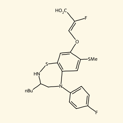 CCCCC1CN(c2ccc(F)cc2)c2cc(SC)c(O/C=C(\F)C(=O)O)cc2SN1